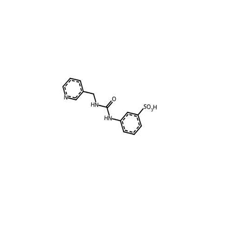 O=C(NCc1cccnc1)Nc1cccc(S(=O)(=O)O)c1